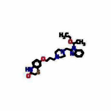 CCOC(C)n1c(CN2CCN(CCCOc3ccc4c(c3)SCC(=O)N4)CC2)nc2ccccc21